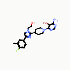 Cc1cc(-c2cn(CCO)c(C3CCN(c4ncnc(N)c4Br)CC3)n2)ccc1F